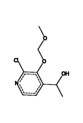 COCOc1c(C(C)O)ccnc1Cl